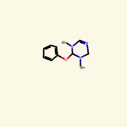 CC(C)(C)N1C=NCN(C(C)(C)C)C1Oc1ccccc1